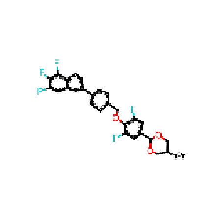 CCCC1COC(c2cc(F)c(OCc3ccc(-c4ccc5c(F)c(F)c(F)cc5c4)cc3)c(F)c2)OC1